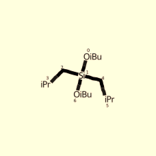 CC(C)CO[Si](CC(C)C)(CC(C)C)OCC(C)C